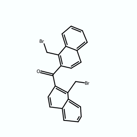 O=C(c1ccc2ccccc2c1CBr)c1ccc2ccccc2c1CBr